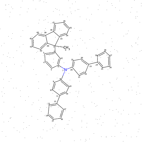 CC1(c2cccc(N(c3ccc(-c4ccccc4)cc3)c3ccc(-c4ccccc4)cc3)c2)c2ccccc2-c2ccccc21